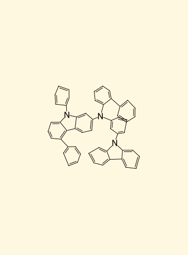 c1ccc(-c2ccccc2N(c2cccc(-n3c4ccccc4c4ccccc43)c2)c2ccc3c4c(-c5ccccc5)cccc4n(-c4ccccc4)c3c2)cc1